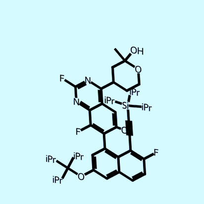 CC(C)C(Oc1cc(-c2c(Cl)cc3c(C4CCOC(C)(O)C4)nc(F)nc3c2F)c2c(C#C[Si](C(C)C)(C(C)C)C(C)C)c(F)ccc2c1)(C(C)C)C(C)C